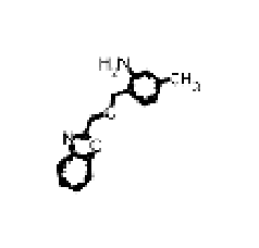 Cc1ccc(COCc2nc3ccccc3o2)c(N)c1